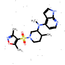 Cc1noc(C)c1S(=O)(=O)N1CCC(C)C(N(C)c2ccnc3[nH]ccc23)C1